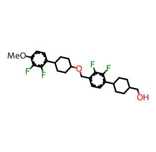 COc1ccc(C2CCC(OCc3ccc(C4CCC(CO)CC4)c(F)c3F)CC2)c(F)c1F